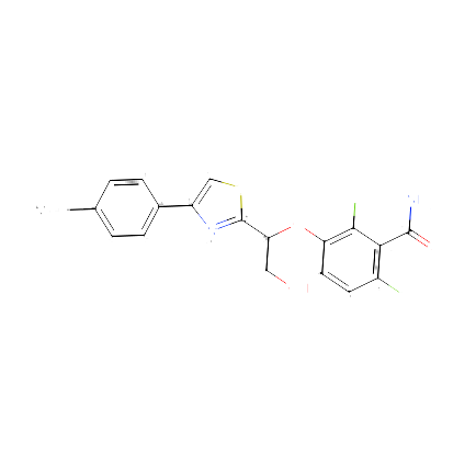 COc1ccc(-c2csc(C(CO)Oc3ccc(F)c(C(N)=O)c3F)n2)cc1